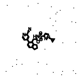 N#Cc1cc(-c2ccc3c(c2CC(=O)NS(=O)(=O)c2ccn(C4CC4)n2)CCC3)ccn1